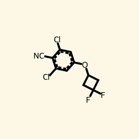 N#Cc1c(Cl)cc(OC2CC(F)(F)C2)cc1Cl